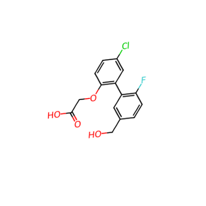 O=C(O)COc1ccc(Cl)cc1-c1cc(CO)ccc1F